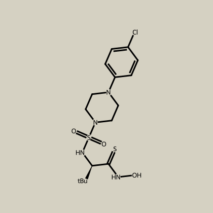 CC(C)(C)[C@@H](NS(=O)(=O)N1CCN(c2ccc(Cl)cc2)CC1)C(=S)NO